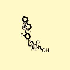 CC(=O)N1CCN(c2ccc(CN3[C@@H](C)CCC(c4ccccc4)S3(=O)=O)c(F)c2)C[C@H]1C(=O)NCCO